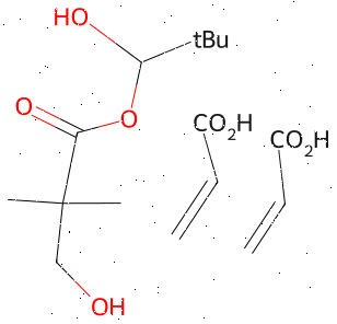 C=CC(=O)O.C=CC(=O)O.CC(C)(CO)C(=O)OC(O)C(C)(C)C